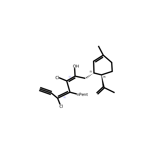 C#C/C(Cl)=C(CCCCC)\C(Cl)=C(\O)C[C@@H]1C=C(C)CC[C@H]1C(=C)C